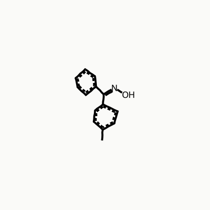 Cc1ccc(/C(=N\O)c2ccccc2)cc1